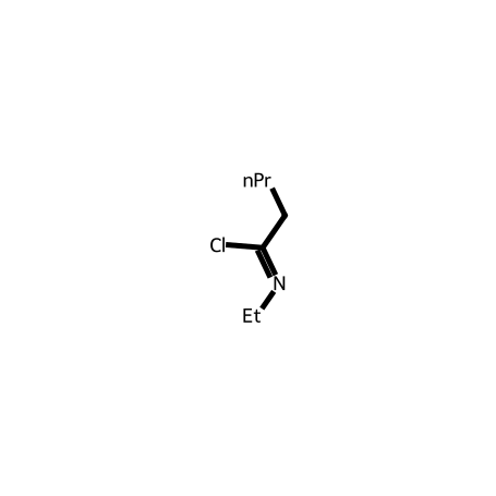 CCCCC(Cl)=NCC